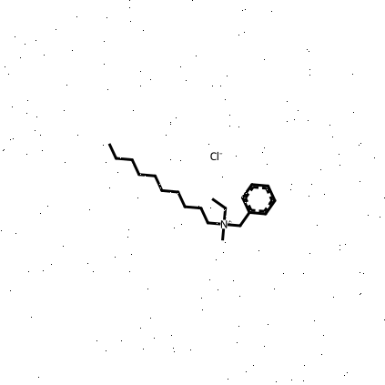 CCCCCCCCCC[N+](C)(CC)Cc1ccccc1.[Cl-]